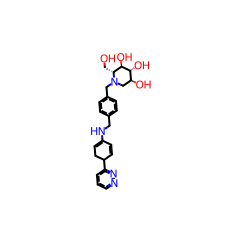 OC[C@@H]1[C@@H](O)[C@H](O)[C@@H](O)CN1Cc1ccc(CNC2=CCC(c3cccnn3)C=C2)cc1